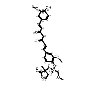 CCC(C)(NP(=O)(COC)Oc1ccc(/C=C/C(=O)CC(=O)/C=C/c2ccc(O)c(OC)c2)cc1OC)C(=O)O